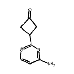 Nc1ccnc(C2CC(=O)C2)n1